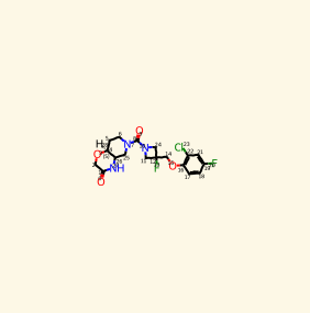 O=C1CO[C@H]2CCN(C(=O)N3CC(F)(COc4ccc(F)cc4Cl)C3)CC2N1